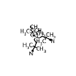 CC(C)(C#N)CC[Si](C)(CCC(C)(C)C#N)O[Si](C)(C)C